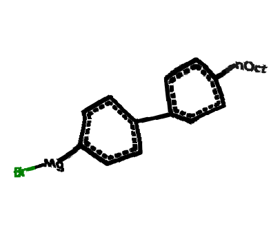 CCCCCCCCc1ccc(-c2cc[c]([Mg][Br])cc2)cc1